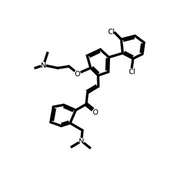 CN(C)CCOc1ccc(-c2c(Cl)cccc2Cl)cc1C=CC(=O)c1ccccc1CN(C)C